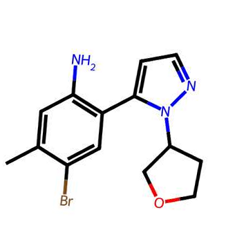 Cc1cc(N)c(-c2ccnn2C2CCOC2)cc1Br